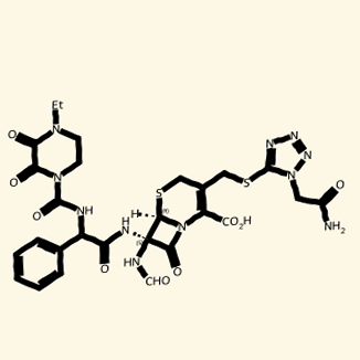 CCN1CCN(C(=O)NC(C(=O)N[C@@]2(NC=O)C(=O)N3C(C(=O)O)=C(CSc4nnnn4CC(N)=O)CS[C@@H]32)c2ccccc2)C(=O)C1=O